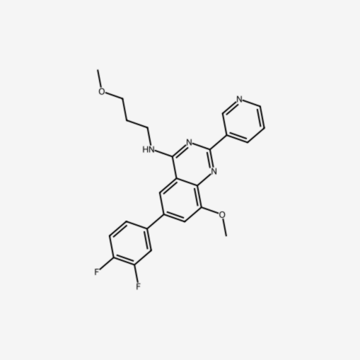 COCCCNc1nc(-c2cccnc2)nc2c(OC)cc(-c3ccc(F)c(F)c3)cc12